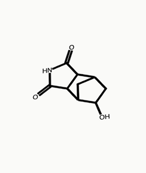 O=C1NC(=O)C2C3CC(CC3O)C12